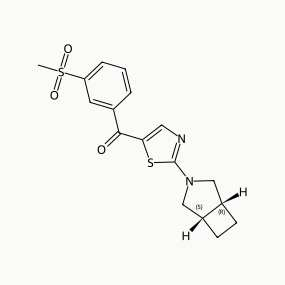 CS(=O)(=O)c1cccc(C(=O)c2cnc(N3C[C@H]4CC[C@H]4C3)s2)c1